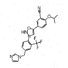 CC(C)Oc1ccc(C2=CN(c3ccc(Cn4ccnc4)cc3C(F)(F)F)NO2)cc1C#N